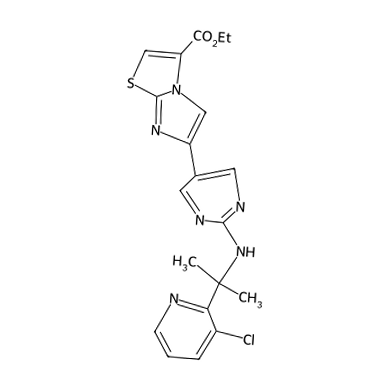 CCOC(=O)c1csc2nc(-c3cnc(NC(C)(C)c4ncccc4Cl)nc3)cn12